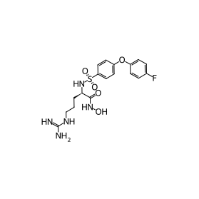 N=C(N)NCCC[C@@H](NS(=O)(=O)c1ccc(Oc2ccc(F)cc2)cc1)C(=O)NO